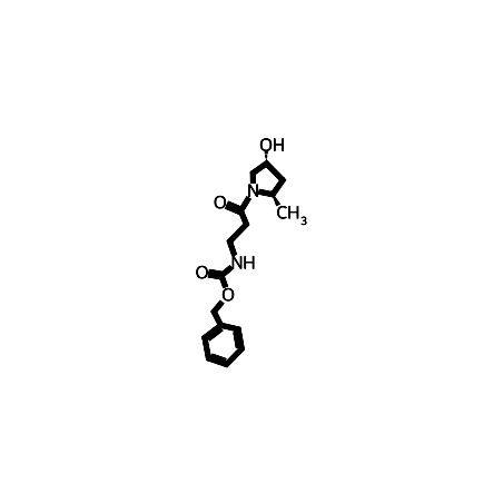 C[C@@H]1C[C@@H](O)CN1C(=O)CCNC(=O)OCc1ccccc1